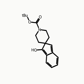 CC(C)(C)OC(=O)N1CCC2(C=c3ccccc3=C2O)CC1